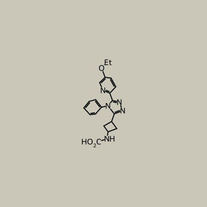 CCOc1ccc(-c2nnc(C3CC(NC(=O)O)C3)n2-c2ccccc2)nc1